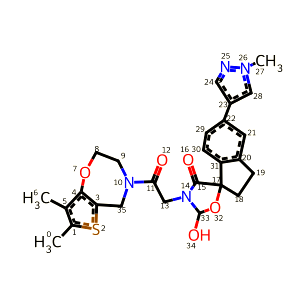 Cc1sc2c(c1C)OCCN(C(=O)CN1C(=O)C3(CCc4cc(-c5cnn(C)c5)ccc43)OC1O)C2